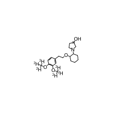 [2H]C([2H])([2H])Oc1ccc(CCOC2CCCCC2N2CC[C@@H](O)C2)cc1OC([2H])([2H])[2H]